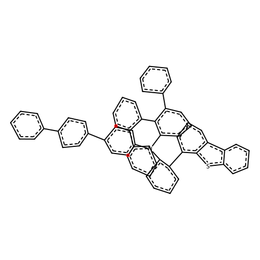 c1ccc(-c2ccc(-c3ccc(N(c4ccccc4-c4cccc5c4sc4ccccc45)c4cccc(-c5ccccc5)c4-c4ccccc4-c4ccccc4)cc3)cc2)cc1